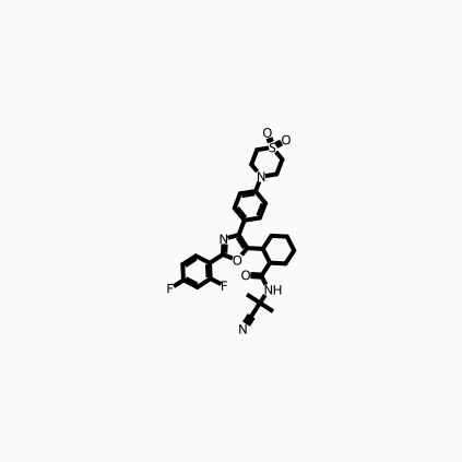 CC(C)(C#N)NC(=O)C1CCCCC1c1oc(-c2ccc(F)cc2F)nc1-c1ccc(N2CCS(=O)(=O)CC2)cc1